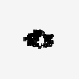 CCc1cccc2cc(O)cc(-c3ncc4c(N5CC6CCC(C5)N6)nc(OCC5CCCN(C)C(COC(=O)N6CC(COc7cc(C(C(=O)N8CCCC8C(=O)NC(C)c8ccc(-c9scnc9C)cc8)C(C)C)on7)C6)(SC)CC5)nc4c3F)c12